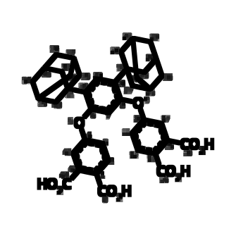 O=C(O)c1ccc(Oc2cc(Oc3ccc(C(=O)O)c(C(=O)O)c3)c(C34CC5CC(CC(C5)C3)C4)cc2C23CC4CC(CC(C4)C2)C3)cc1C(=O)O